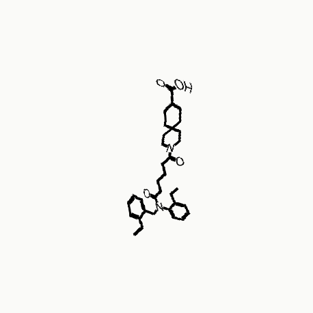 C=Cc1ccccc1CN(C(=O)CCCCC(=O)N1CCC2(CCC(C(=O)O)CC2)CC1)c1ccccc1CC